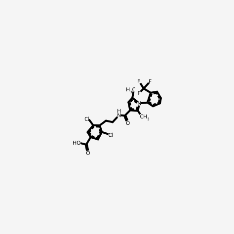 Cc1cc(C(=O)NCCc2c(Cl)cc(C(=O)O)cc2Cl)c(C)n1-c1ccccc1C(F)(F)F